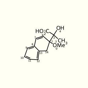 COC1(C(C)(O)C(=O)O)C=Cc2ccccc2C1